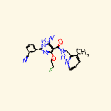 Cc1cccnc1CNC(=O)c1c(N)nc(-c2cccc(C#N)c2)nc1OCCF